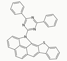 c1ccc(-c2nc(-c3ccccc3)nc(-n3c4cccc5ccc6cc7c8ccccc8sc7c3c6c54)n2)cc1